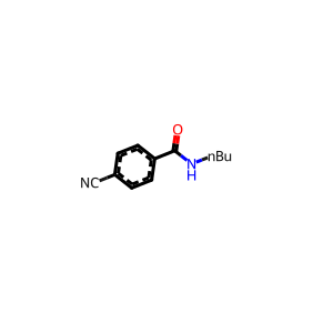 CCCCNC(=O)c1ccc(C#N)cc1